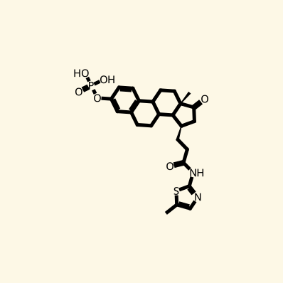 Cc1cnc(NC(=O)CC[C@@H]2CC(=O)[C@@]3(C)CCC4c5ccc(OP(=O)(O)O)cc5CCC4C23)s1